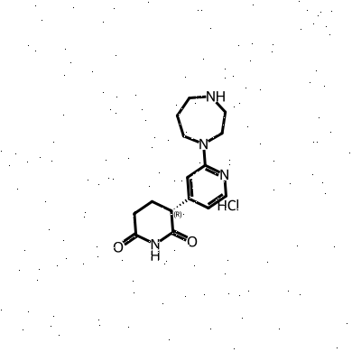 Cl.O=C1CC[C@H](c2ccnc(N3CCCNCC3)c2)C(=O)N1